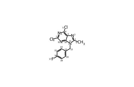 Cc1nc2c(Cl)nc(Cl)nc2n1Cc1ccc(F)cc1